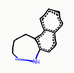 c1ccc2c3c(ccc2c1)NNCCC3